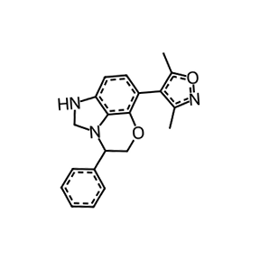 Cc1noc(C)c1-c1ccc2c3c1OCC(c1ccccc1)N3CN2